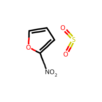 O=S=O.O=[N+]([O-])c1ccco1